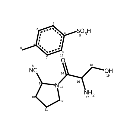 Cc1ccc(S(=O)(=O)O)cc1.N#CC1CCCN1C(=O)C(N)CO